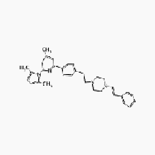 Cc1cc(-c2ccc(CCN3CCN(C=Cc4ccccc4)CC3)cc2)nc(-n2c(C)ccc2C)c1